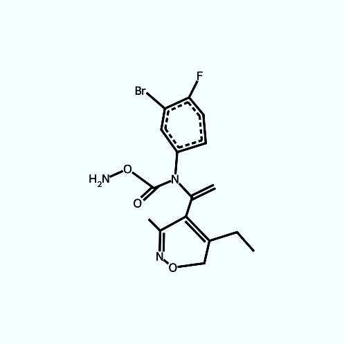 C=C(C1=C(CC)CON=C1C)N(C(=O)ON)c1ccc(F)c(Br)c1